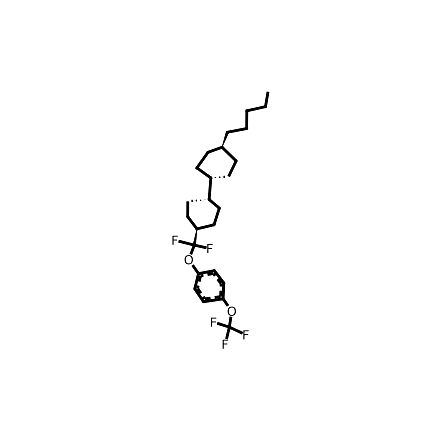 CCCCC[C@H]1CC[C@H]([C@H]2CC[C@H](C(F)(F)Oc3ccc(OC(F)(F)F)cc3)CC2)CC1